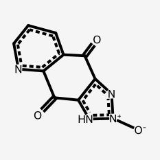 O=C1c2cccnc2C(=O)c2[nH][n+]([O-])nc21